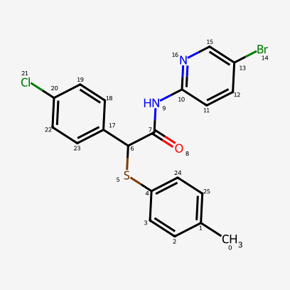 Cc1ccc(SC(C(=O)Nc2ccc(Br)cn2)c2ccc(Cl)cc2)cc1